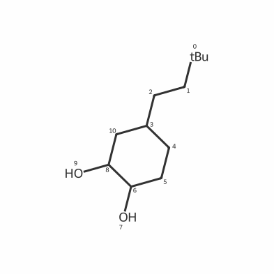 CC(C)(C)CCC1CCC(O)C(O)C1